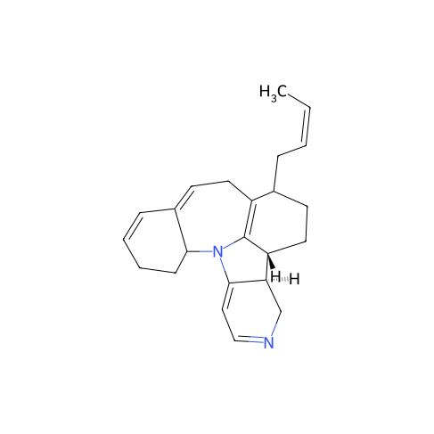 C/C=C\CC1CC[C@H]2C3=C1CC=C1C=CCCC1N3C1=CC=NC[C@@H]12